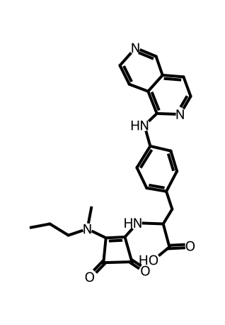 CCCN(C)c1c(NC(Cc2ccc(Nc3nccc4cnccc34)cc2)C(=O)O)c(=O)c1=O